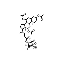 CC(=O)OC1CCC2(C)C(C1)CC(OC(C)=O)C1C2CC(OC(C)=O)C2(C)C(C(C)CCC(=O)OC(C(F)(F)F)C(F)(F)S(=O)(=O)O)CCC12